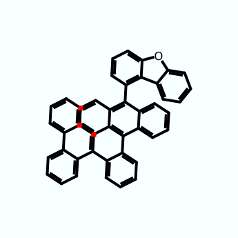 c1ccc(-c2cc3ccccc3c3ccccc23)c(-c2c3ccccc3c(-c3cccc4oc5ccccc5c34)c3ccccc23)c1